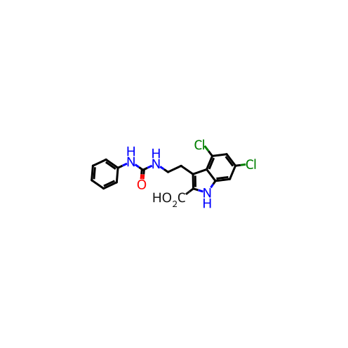 O=C(NCCc1c(C(=O)O)[nH]c2cc(Cl)cc(Cl)c12)Nc1ccccc1